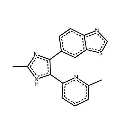 Cc1cccc(-c2[nH]c(C)nc2-c2ccc3ncsc3c2)n1